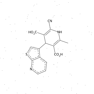 CC1=C(C(=O)O)C(c2csc3ncccc23)C(C(=O)O)=C(C#N)N1